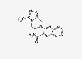 NC(=O)c1cc2cncnc2nc1N1CCn2c(nnc2C(F)(F)F)C1